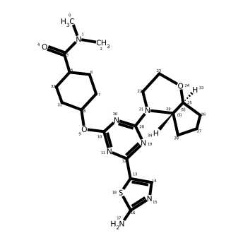 CN(C)C(=O)C1CCC(Oc2nc(-c3cnc(N)s3)nc(N3CCO[C@H]4CCC[C@@H]43)n2)CC1